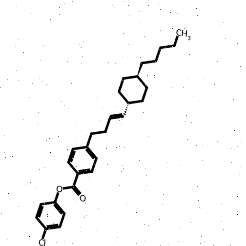 CCCCC[C@H]1CC[C@H](/C=C/CCc2ccc(C(=O)Oc3ccc(Cl)cc3)cc2)CC1